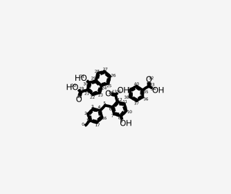 Cc1ccc(Cc2cc(O)ccc2C(=O)O)cc1.O=C(O)c1ccc2ccccc2c1O.O=C(O)c1ccccc1